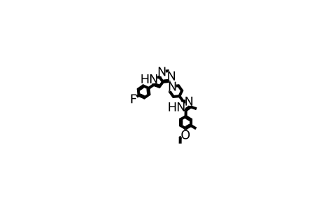 CCOc1ccc(-c2[nH]c(C3CCN(c4ncnc5[nH]c(-c6ccc(F)cc6)cc45)CC3)nc2C)cc1C